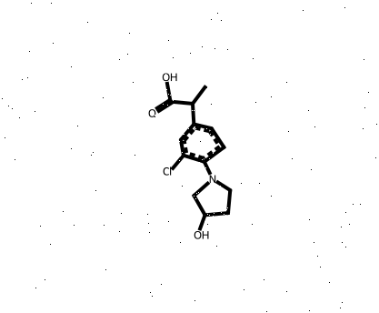 CC(C(=O)O)c1ccc(N2CCC(O)C2)c(Cl)c1